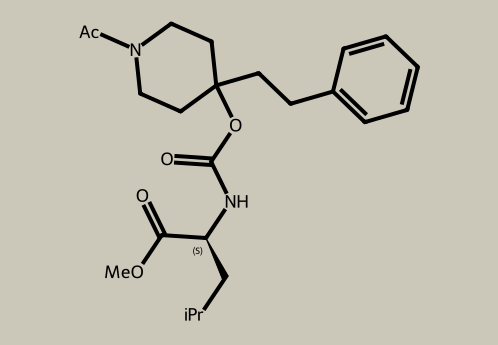 COC(=O)[C@H](CC(C)C)NC(=O)OC1(CCc2ccccc2)CCN(C(C)=O)CC1